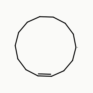 [CH]1CCC=CCCCCCCCCC1